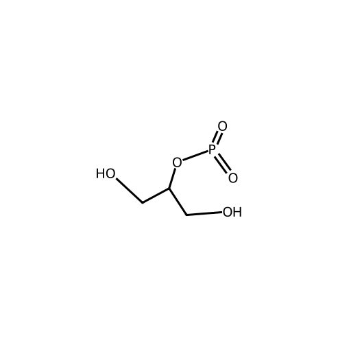 O=P(=O)OC(CO)CO